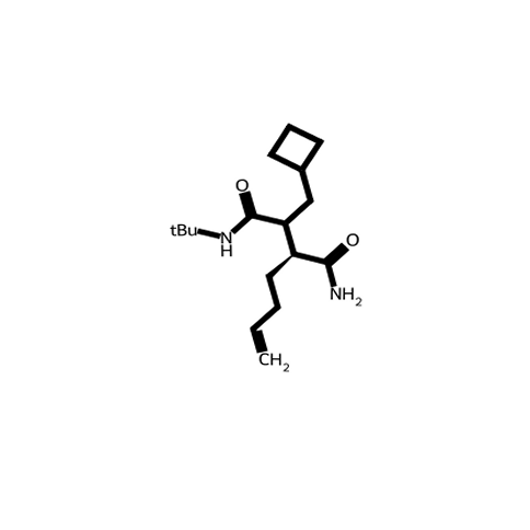 C=CCC[C@H](C(N)=O)C(CC1CCC1)C(=O)NC(C)(C)C